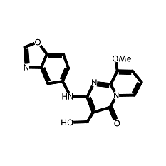 COc1cccn2c(=O)c(CO)c(Nc3ccc4ocnc4c3)nc12